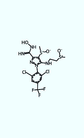 C[S+]([O-])CCNc1c([S+](C)[O-])c(C(=N)NO)nn1-c1c(Cl)cc(C(F)(F)F)cc1Cl